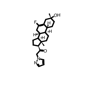 C[C@@]1(O)CC[C@H]2C(=C(F)C[C@@H]3[C@@H]2CC[C@]2(C)[C@@H](C(=O)Cn4cccn4)CC[C@@H]32)C1